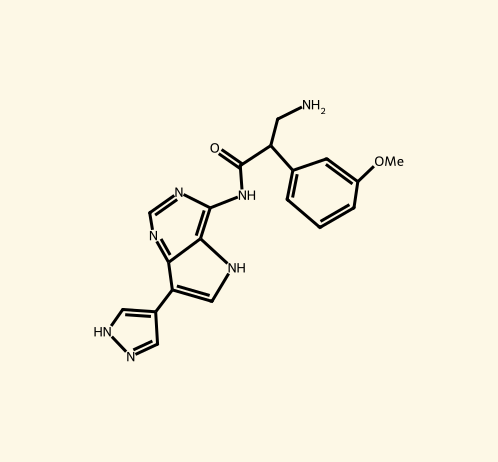 COc1cccc(C(CN)C(=O)Nc2ncnc3c(-c4cn[nH]c4)c[nH]c23)c1